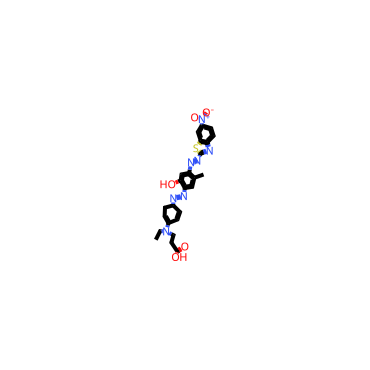 CCN(CCC(=O)O)C1=CCC(N=Nc2cc(C)c(N=Nc3nc4ccc([N+](=O)[O-])cc4s3)cc2O)C=C1